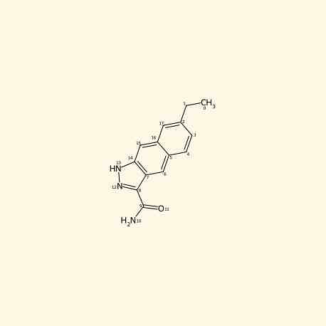 CCc1ccc2cc3c(C(N)=O)n[nH]c3cc2c1